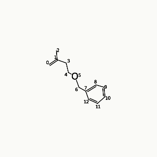 C=C(C)CCOCc1ccccc1